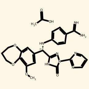 CC(=O)O.COc1cc([C@H](Nc2ccc(C(=N)N)cc2)c2nn(-c3ncccn3)c(=O)[nH]2)cc2c1OCCCO2